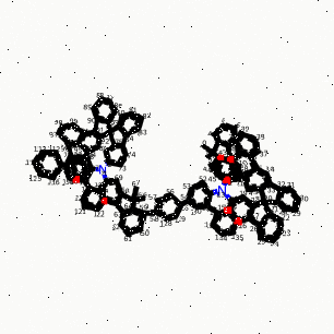 CC1(C)c2ccccc2-c2ccc(N(c3ccc4c(c3)C3(c5ccccc5-4)c4ccccc4-c4cc5c6ccccc6c6ccccc6c5cc43)c3ccc(-c4ccc(-c5cccc6c5C(C)(C)c5cc(N(c7ccc8c(c7)C7(c9ccccc9-8)c8ccccc8-c8c7cc7c9c(cccc89)-c8ccccc8-7)c7ccc(-c8ccccc8)cc7-c7ccccc7)ccc5-6)cc4)cc3-c3ccccc3)cc21